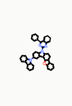 C1=c2nc(-n3c4ccc(-n5c6ccccc6c6ccccc65)cc4c4c5oc6ccccc6c5ccc43)nc(-c3ccccc3)c2=CCC1